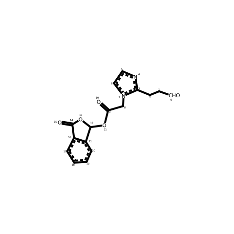 O=CCCc1nccn1CC(=O)OC1OC(=O)c2ccccc21